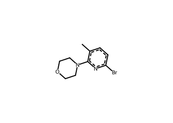 Cc1ccc(Br)nc1N1CCOCC1